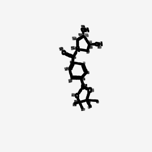 CC1(C)OB(c2ccc(C(=O)N3C[C@H](O)[C@@H](O)C3)cc2)OC1(C)C